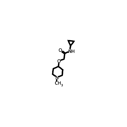 CN1CCC(OCC(=O)NC2CC2)CC1